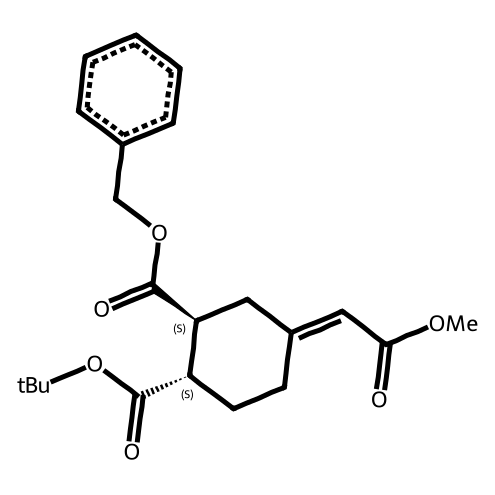 COC(=O)C=C1CC[C@H](C(=O)OC(C)(C)C)[C@@H](C(=O)OCc2ccccc2)C1